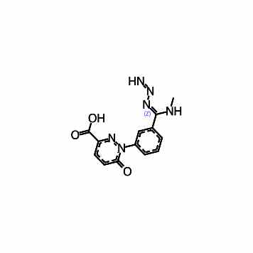 CN/C(=N\N=N)c1cccc(-n2nc(C(=O)O)ccc2=O)c1